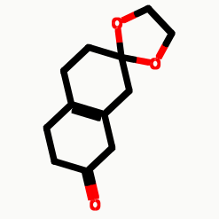 O=C1CCC2=C(C1)CC1(CC2)OCCO1